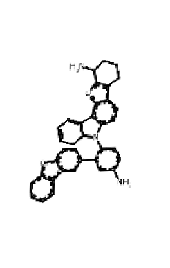 Nc1ccc(N2c3ccc4c5c(oc4c3C3=CC=CCC32)C(N)CCC5)c(-c2ccc3oc4ccccc4c3c2)c1